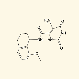 COc1cccc2c1C(NC(=O)c1[nH]c(=O)[nH]c(=O)c1N)CCC2